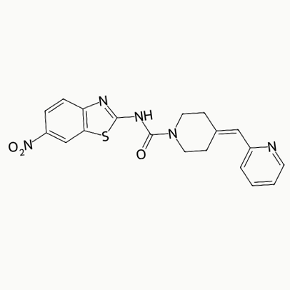 O=C(Nc1nc2ccc([N+](=O)[O-])cc2s1)N1CCC(=Cc2ccccn2)CC1